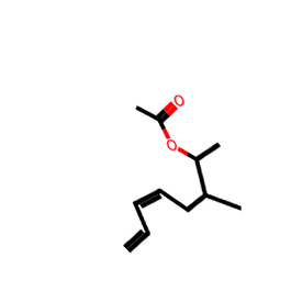 C=C/C=C\CC(C)C(C)OC(C)=O